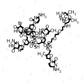 Cc1cn([C@H]2C[C@@H](OP(=S)(OCCOCCOCCNC(=O)CC(C)(C)OC(C)(C)CN)OCC3O[C@@H](n4ccc(N)nc4=O)C[C@H]3C)C(COP(=O)(S)O[C@@H]3C[C@H](n4cnc5c(=O)[nH]c(N)nc54)OC3COP(=S)(S)O[C@@H]3C[C@H](n4ccc(N)nc4=O)OC3COP(=O)(S)O[C@@H]3C[C@H](n4cc(Br)c(=O)[nH]c4=O)OC3CO)O2)c(=O)[nH]c1=O